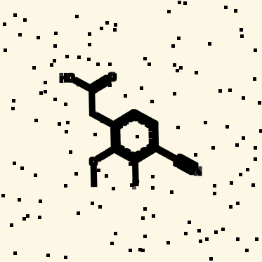 COc1c(CC(=O)O)ccc(C#N)c1F